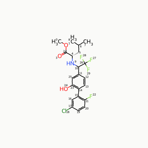 COC(=O)[C@H](CC(C)C)NC(c1ccc(-c2cc(Cl)ccc2F)c(O)c1)C(F)(F)F